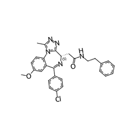 COc1ccc2c(c1)C(c1ccc(Cl)cc1)=N[C@@H](CC(=O)NCCc1ccccc1)c1nnc(C)n1-2